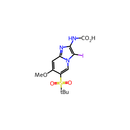 COc1cc2nc(NC(=O)O)c(I)n2cc1S(=O)(=O)C(C)(C)C